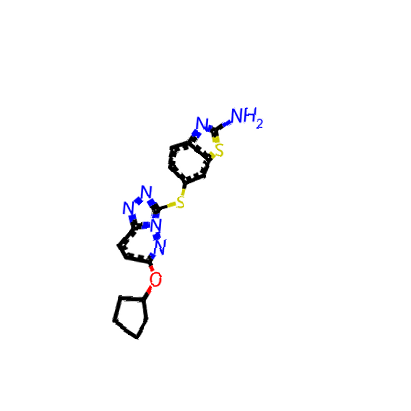 Nc1nc2ccc(Sc3nnc4ccc(OC5CCCC5)nn34)cc2s1